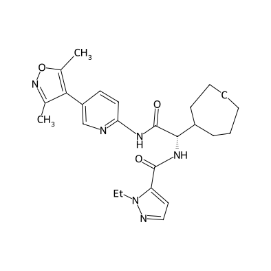 CCn1nccc1C(=O)N[C@H](C(=O)Nc1ccc(-c2c(C)noc2C)cn1)C1CCCCCC1